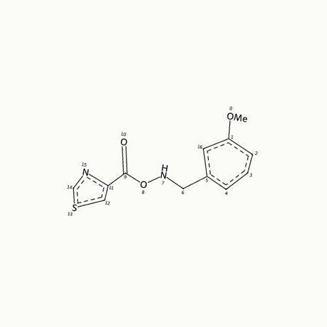 COc1cccc(CNOC(=O)c2cscn2)c1